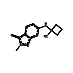 Cn1oc2cc(NC3(C#N)CCC3)ccc2c1=O